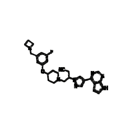 N#CCC(CN1CCC(Oc2cc(F)cc(CN3CCC3)c2)CC1)n1cc(-c2ncnc3[nH]ccc23)cn1